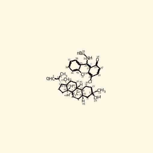 CC(C=O)[C@H]1CC[C@H]2[C@@H]3CC[C@H]4C[C@@](C)(O)CC[C@]4(C)[C@H]3CC[C@]12C.CCCCN/C(=C1/C=C(Cl)C=CC1=O)c1ccccc1Cl